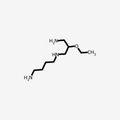 CCOC(CN)CNCCCCN